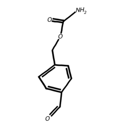 NC(=O)OCc1ccc(C=O)cc1